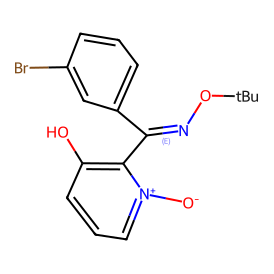 CC(C)(C)O/N=C(\c1cccc(Br)c1)c1c(O)ccc[n+]1[O-]